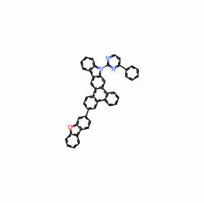 c1ccc(-c2ccnc(-n3c4ccccc4c4cc5c6ccc(-c7ccc8c(c7)oc7ccccc78)cc6c6ccccc6c5cc43)n2)cc1